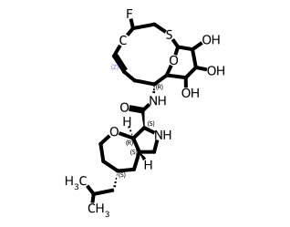 CC(C)C[C@@H]1CCO[C@@H]2[C@H](CN[C@@H]2C(=O)N[C@@H]2C/C=C\CC(F)CSC3OC2C(O)C(O)C3O)C1